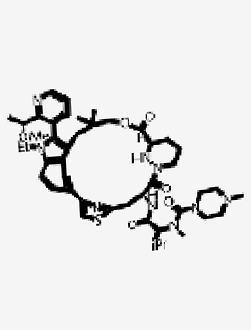 CCn1c(-c2cccnc2[C@H](C)OC)c2c3cc(ccc31)-c1csc(n1)C[C@H](NC(=O)C(C(C)C)N(C)C(=O)N1CCN(C)CC1)C(=O)N1CCC[C@H](N1)C(=O)OCC(C)(C)C2